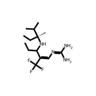 CCC(N[C@@](C)(CC)C(C)C)/C(=C\N=C(N)N)C(F)(F)F